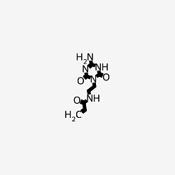 C=CC(=O)NCCn1c(=O)nc(N)[nH]c1=O